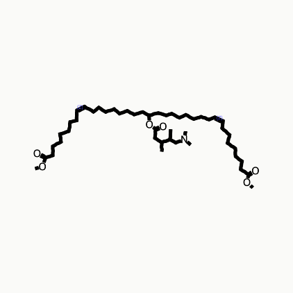 COC(=O)CCCCCCC/C=C\CCCCCCCCC(CCCCCCCC/C=C\CCCCCCCC(=O)OC)OC(=O)CC(C)C(C)CN(C)C